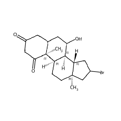 C[C@]12CC[C@@H]3[C@@H](C(O)CC4CC(=O)CC(=O)[C@@]43C)[C@@H]1CC(Br)C2